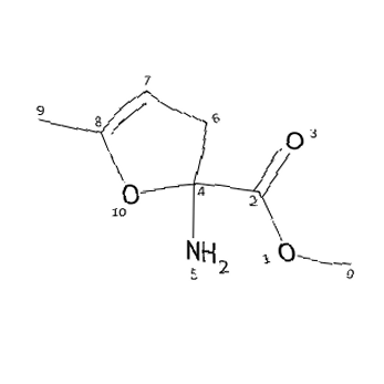 COC(=O)C1(N)CC=C(C)O1